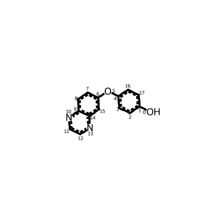 Oc1ccc(Oc2ccc3nccnc3c2)cc1